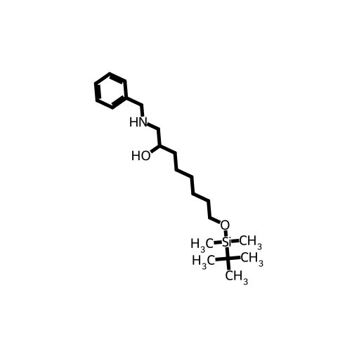 CC(C)(C)[Si](C)(C)OCCCCCCC(O)CNCc1ccccc1